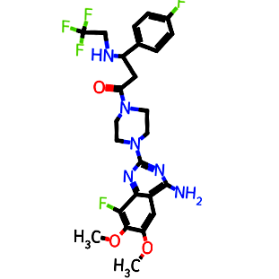 COc1cc2c(N)nc(N3CCN(C(=O)CC(NCC(F)(F)F)c4ccc(F)cc4)CC3)nc2c(F)c1OC